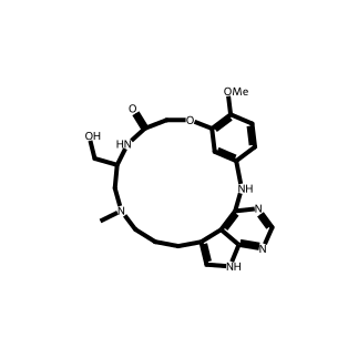 COc1ccc2cc1OCC(=O)NC(CO)CN(C)CCCc1c[nH]c3ncnc(c13)N2